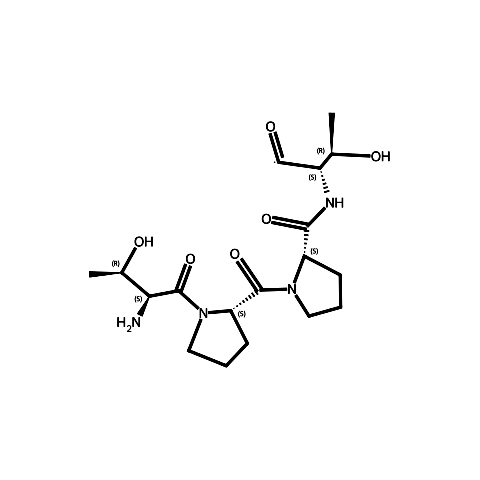 C[C@@H](O)[C@H](N)C(=O)N1CCC[C@H]1C(=O)N1CCC[C@H]1C(=O)N[C@H]([C]=O)[C@@H](C)O